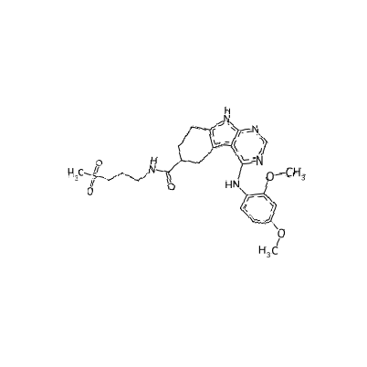 COc1ccc(Nc2ncnc3[nH]c4c(c23)CC(C(=O)NCCCS(C)(=O)=O)CC4)c(OC)c1